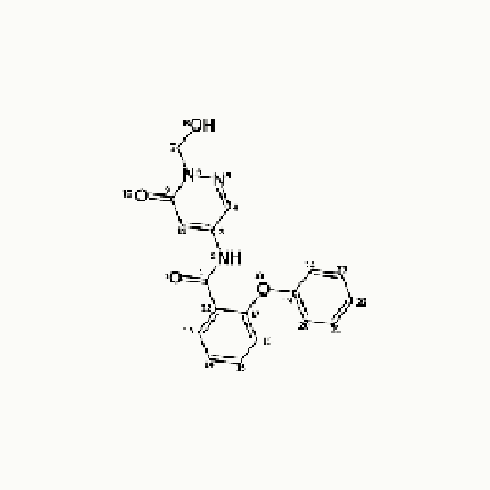 O=C(Nc1cnn(CO)c(=O)c1)c1ccccc1Oc1ccccc1